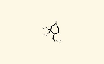 CC1(C)CNCCN1CC(=O)O